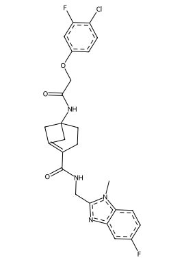 Cn1c(CNC(=O)C2=C3CC(NC(=O)COc4ccc(Cl)c(F)c4)(CC2)C3)nc2cc(F)ccc21